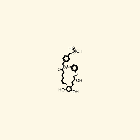 O=C(CCC/C=C\C[C@@H]1[C@@H](/C=C/[C@@H](O)COc2cccc(C(F)(F)F)c2)[C@H](O)C[C@@H]1O)OCc1ccc(CON(O)O)cc1